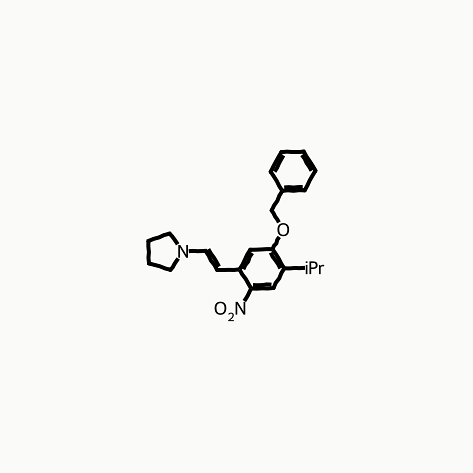 CC(C)c1cc([N+](=O)[O-])c(C=CN2CCCC2)cc1OCc1ccccc1